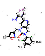 CCc1cc(CN2C(=O)N(c3c(F)c(OC)cc(OC)c3F)Cc3cnc(/C(=C/PC)C(C)=N)cc32)no1